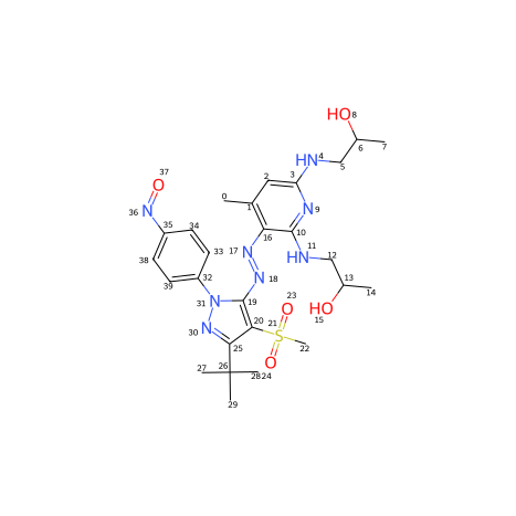 Cc1cc(NCC(C)O)nc(NCC(C)O)c1N=Nc1c(S(C)(=O)=O)c(C(C)(C)C)nn1-c1ccc(N=O)cc1